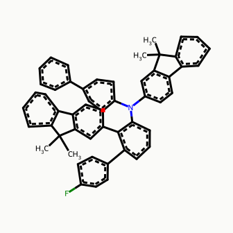 CC1(C)c2ccccc2-c2ccc(-c3c(-c4ccc(F)cc4)cccc3N(c3ccc(-c4ccccc4)cc3)c3ccc4c(c3)C(C)(C)c3ccccc3-4)cc21